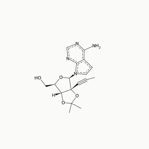 CC#C[C@@]12OC(C)(C)O[C@@H]1[C@@H](CO)O[C@H]2n1ccc2c(N)ncnc21